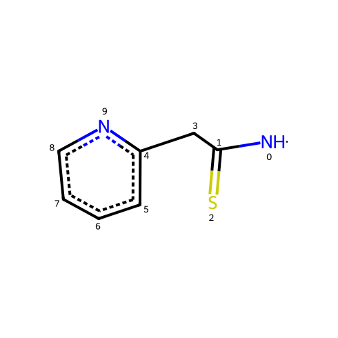 [NH]C(=S)Cc1ccccn1